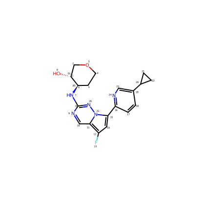 O[C@@H]1COCC[C@H]1Nc1ncc2c(F)cc(-c3ccc(C4CC4)cn3)n2n1